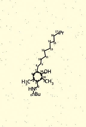 CCCCNCc1c(C)cc(CCCCCCCCCC(C)C)c(O)c1C